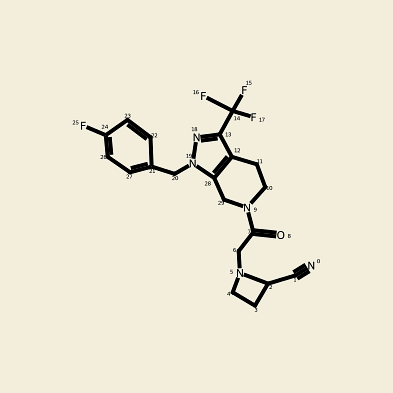 N#CC1CCN1CC(=O)N1CCc2c(C(F)(F)F)nn(Cc3ccc(F)cc3)c2C1